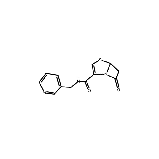 O=C(NCc1cccnc1)C1=CSC2CC(=O)N12